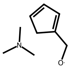 CN(C)C.[O]CC1=CC=CC1